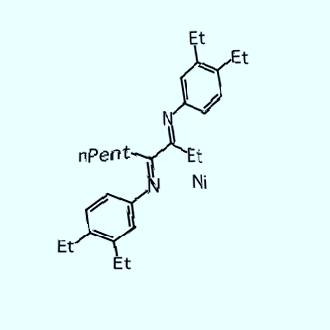 CCCCCC(=N\c1ccc(CC)c(CC)c1)/C(CC)=N/c1ccc(CC)c(CC)c1.[Ni]